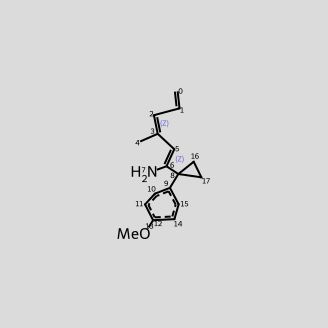 C=C/C=C(C)\C=C(/N)C1(c2ccc(OC)cc2)CC1